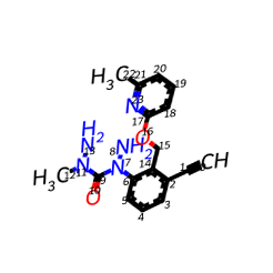 C#Cc1cccc(N(N)C(=O)N(C)N)c1COc1cccc(C)n1